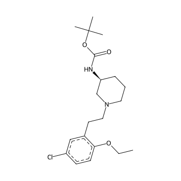 CCOc1ccc(Cl)cc1CCN1CCC[C@H](NC(=O)OC(C)(C)C)C1